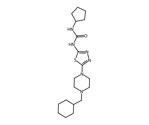 O=C(Nc1nnc(N2CCN(CC3CCCCC3)CC2)s1)NC1CCCC1